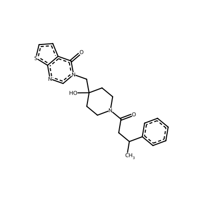 CC(CC(=O)N1CCC(O)(Cn2cnc3sccc3c2=O)CC1)c1ccccc1